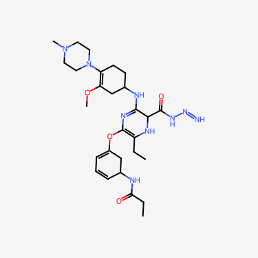 CCC(=O)NC1C=CC=C(OC2=C(CC)NC(C(=O)NN=N)C(NC3CCC(N4CCN(C)CC4)=C(OC)C3)=N2)C1